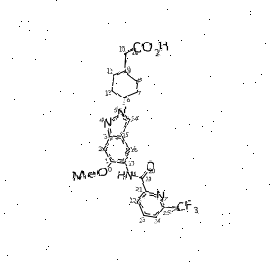 COc1cc2nn([C@H]3CC[C@H](CC(=O)O)CC3)cc2cc1NC(=O)c1cccc(C(F)(F)F)n1